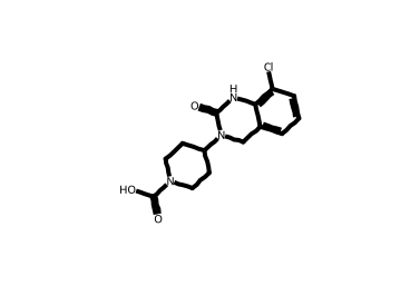 O=C(O)N1CCC(N2Cc3cccc(Cl)c3NC2=O)CC1